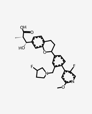 COc1cc(-c2ccc(C3CCc4ccc([C@H](O)[C@H](C)C(=O)O)cc4O3)cc2CN2CCC(F)C2)c(F)cn1